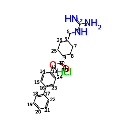 Cl.N=C(N)NC[C@H]1CC[C@H](C(=O)Oc2ccc(-c3ccccc3)cc2)CC1